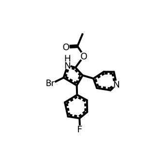 CC(=O)Oc1[nH]c(Br)c(-c2ccc(F)cc2)c1-c1ccncc1